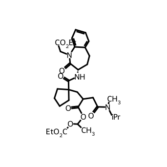 CCOC(=O)CN1C(=O)[C@@H](NC(=O)C2(CC(CC(=O)N(C)C(C)C)C(=O)OC(C)OC(=O)OCC)CCCC2)CCc2ccccc21